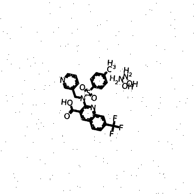 Cc1ccc(S(=O)(=O)N(Cc2cccnc2)c2nc3cc(C(F)(F)F)ccc3cc2C(=O)O)cc1.NO.NO